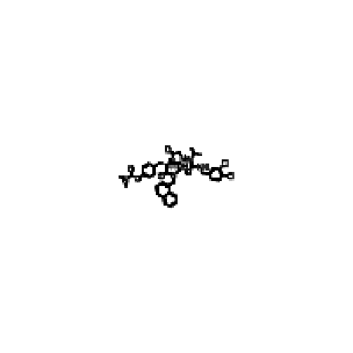 CC(C)N(C(=O)NCc1ccc(Cl)c(Cl)c1)N1CC(=O)N2[C@@H](Cc3ccc(OC(=O)N(C)C)cc3)C(=O)N(Cc3cccc4ccccc34)C[C@@H]21